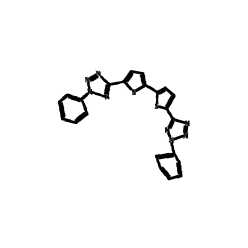 c1ccc(-n2nnc(-c3ccc(-c4ccc(-c5nnn(-c6ccccc6)n5)s4)s3)n2)cc1